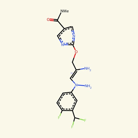 CNC(=O)c1cnc(OC/C(N)=C/N(N)c2ccc(F)c(C(F)F)c2)nc1